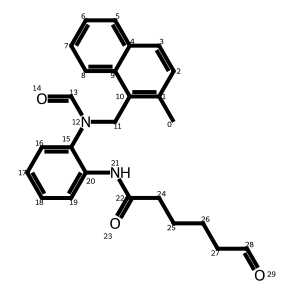 Cc1ccc2ccccc2c1CN(C=O)c1ccccc1NC(=O)CCCCC=O